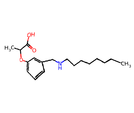 CCCCCCCCNCc1cccc(OC(C)C(=O)O)c1